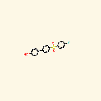 O=S(=O)(c1ccc(F)cc1)c1ccc(-c2ccc(O)cc2)cc1